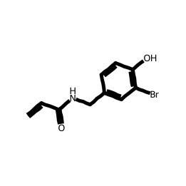 C=CC(=O)NCc1ccc(O)c(Br)c1